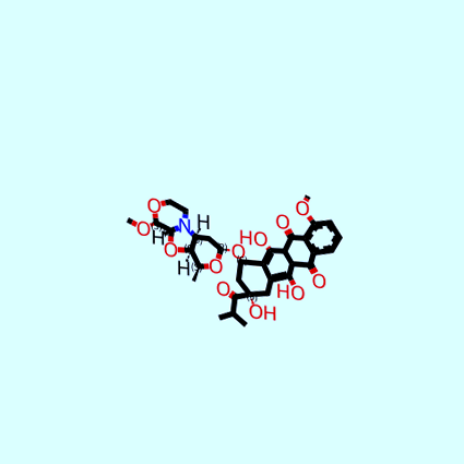 COc1cccc2c1C(=O)C1C(O)=C3C(=C(O)C1C2=O)C[C@@](O)(C(=O)C(C)C)C[C@@H]3O[C@H]1C[C@H]2[C@H](O[C@@H]3[C@@H](OC)OCCN32)[C@H](C)O1